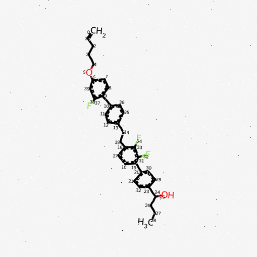 C=CCCCOc1ccc(-c2ccc(CCc3ccc(-c4ccc(C(O)CCC)cc4)c(F)c3F)cc2)c(F)c1